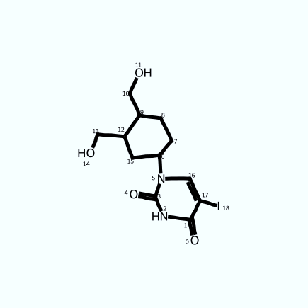 O=c1[nH]c(=O)n(C2CCC(CO)C(CO)C2)cc1I